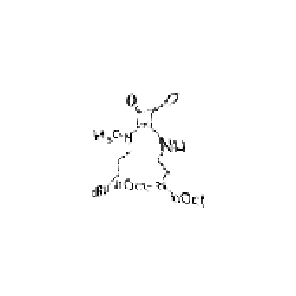 CCCCCCCCN(CCCCCCCC)CCNc1c(N(C)CCCC(C)(C)C)c(=O)c1=O